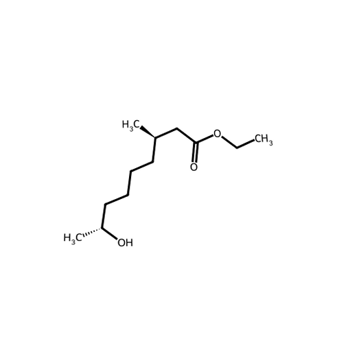 CCOC(=O)C[C@H](C)CCCC[C@@H](C)O